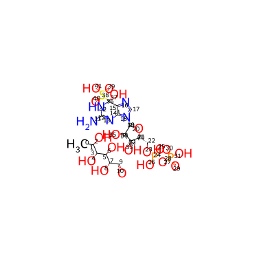 CC(O)C(O)C(O)C(O)C=O.NC1=Nc2c(ncn2[C@@H]2O[C@H](COP(=O)(O)OP(=O)(O)O)[C@@H](O)[C@H]2O)C(O)(S(=O)(=O)O)N1